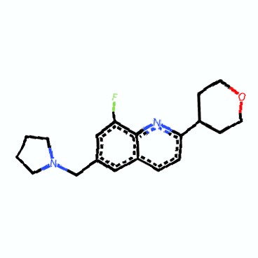 Fc1cc(CN2CCCC2)cc2ccc(C3CCOCC3)nc12